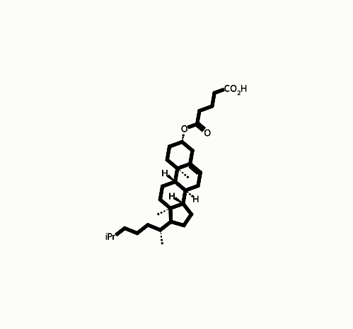 CC(C)CCC[C@@H](C)C1CC[C@H]2[C@@H]3CC=C4C[C@@H](OC(=O)CCCC(=O)O)CC[C@]4(C)[C@H]3CC[C@]12C